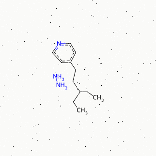 CCC(CC)CCc1ccncc1.NN